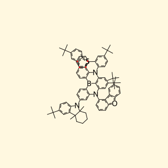 CC(C)(C)c1ccc(N2c3cc(C(C)(C)C)cc4c3B(c3ccc(N5c6ccc(C(C)(C)C)cc6C6(C)CCCCC56C)cc3N4c3cccc4oc5ccc(C(C)(C)C)cc5c34)c3ccc4c(sc5ccc(C(C)(C)C)cc54)c32)c(-c2ccccc2)c1